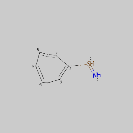 N=[SH]c1ccccc1